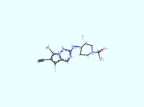 C#Cc1c(F)c2cnc(N[C@@H]3CCN(C(=O)C(F)(F)F)C[C@H]3F)nn2c1C(C)C